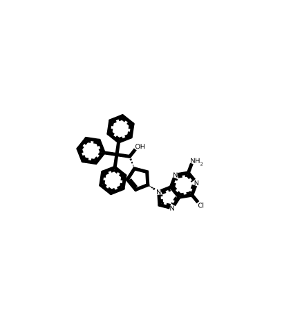 Nc1nc(Cl)c2ncn([C@@H]3C=C[C@H](C(O)C(c4ccccc4)(c4ccccc4)c4ccccc4)C3)c2n1